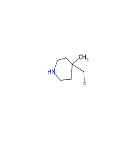 CC1(CF)CCNCC1